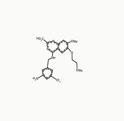 COCCOc1cc2c(NCc3cc(N)cc(C(F)(F)F)c3)nc(C(=O)O)nc2cc1OC